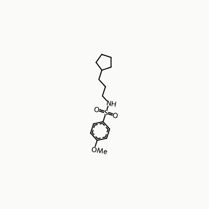 COc1ccc(S(=O)(=O)NCCCC2CCCC2)cc1